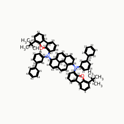 CC(C)(C)c1cccc2c1oc1c(N(c3cccc(-c4ccccc4)c3)c3ccc4ccc5c(N(c6cccc(-c7ccccc7)c6)c6cccc7c6oc6c(C(C)(C)C)cccc67)ccc6ccc3c4c65)cccc12